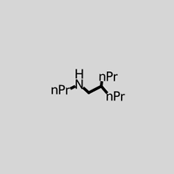 CCCNCC(CCC)CCC